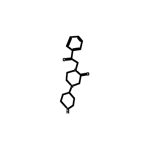 O=C(CN1CCN(C2CCNCC2)CC1=O)c1ccccc1